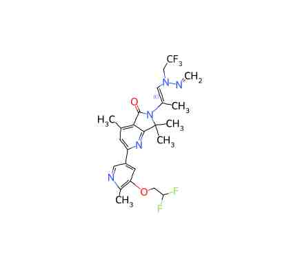 C=NN(/C=C(\C)N1C(=O)c2c(C)cc(-c3cnc(C)c(OCC(F)F)c3)nc2C1(C)C)CC(F)(F)F